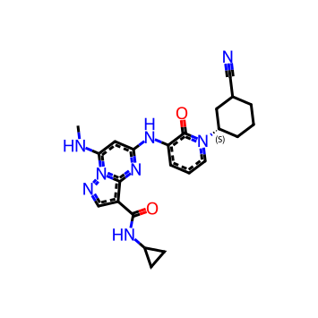 CNc1cc(Nc2cccn([C@H]3CCCC(C#N)C3)c2=O)nc2c(C(=O)NC3CC3)cnn12